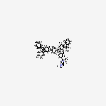 C=C(C)/C(=C\N=C/C)c1ccc(N(c2ccc3c(c2)C(C)(C)c2ccccc2-3)C2C=CC(c3ccc4c(c3)c3c(n4-c4ccccc4)CC(C)C=C3)=CC2)cc1